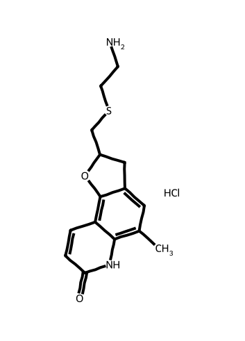 Cc1cc2c(c3ccc(=O)[nH]c13)OC(CSCCN)C2.Cl